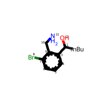 CCCCC(O)c1cccc(Br)c1CN